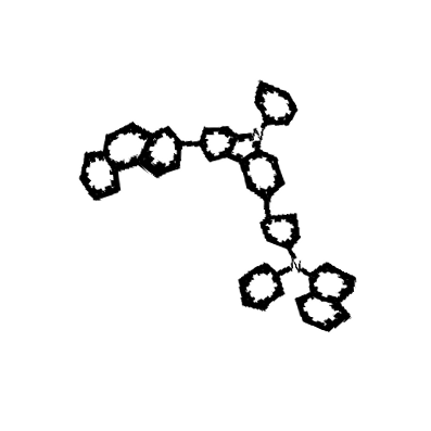 c1ccc(N(c2ccc(-c3ccc4c(c3)c3cc(-c5ccc6c(ccc7ccccc76)c5)ccc3n4-c3ccccc3)cc2)c2cccc3ccccc23)cc1